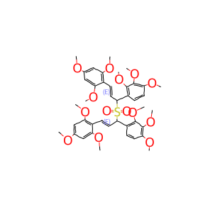 COc1cc(OC)c(/C=C/C(c2ccc(OC)c(OC)c2OC)S(=O)(=O)C(/C=C/c2c(OC)cc(OC)cc2OC)c2ccc(OC)c(OC)c2OC)c(OC)c1